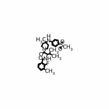 Cc1cccc(C(=O)N[C@@H](C(=O)N2CCC(C)(Nc3ccc(S(C)(=O)=O)cc3)CC2)C(C)C)c1F